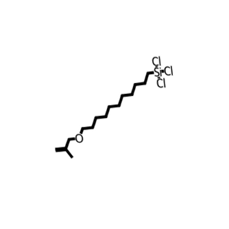 C=C(C)COCCCCCCCCCCC[Si](Cl)(Cl)Cl